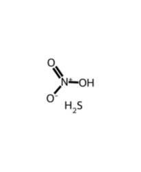 O=[N+]([O-])O.S